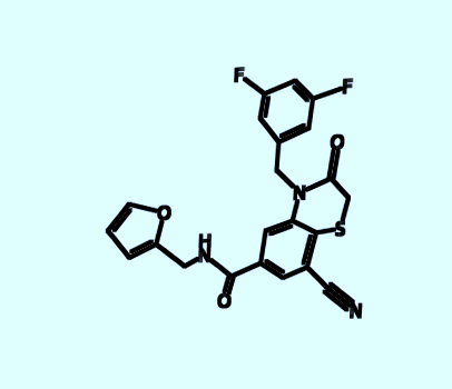 N#Cc1cc(C(=O)NCc2ccco2)cc2c1SCC(=O)N2Cc1cc(F)cc(F)c1